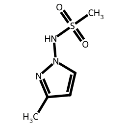 Cc1ccn(NS(C)(=O)=O)n1